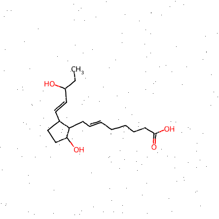 CCC(O)C=CC1CCC(O)C1CC=CCCCCC(=O)O